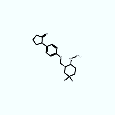 O=C(O)N[C@H]1CCC(F)(F)C[C@H]1COc1ccc(N2CCCC2=O)cc1